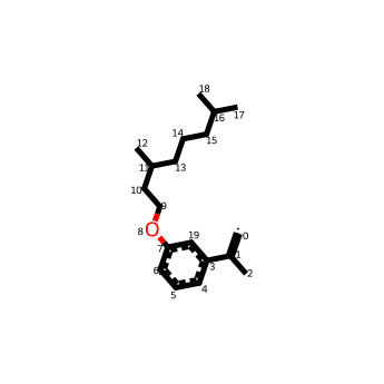 [CH]=C(C)c1cc[c]c(OCCC(C)CCCC(C)C)c1